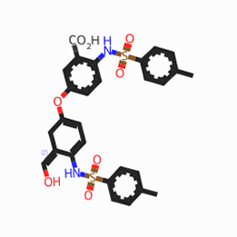 Cc1ccc(S(=O)(=O)NC2=CC=C(Oc3ccc(NS(=O)(=O)c4ccc(C)cc4)c(C(=O)O)c3)C/C2=C/O)cc1